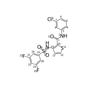 O=C(Nc1cccc(Cl)c1)c1sccc1NS(=O)(=O)c1cc(F)cc(F)c1